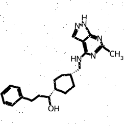 Cc1nc(NC[C@H]2CC[C@@H](C(O)CCc3ccccc3)CC2)c2cn[nH]c2n1